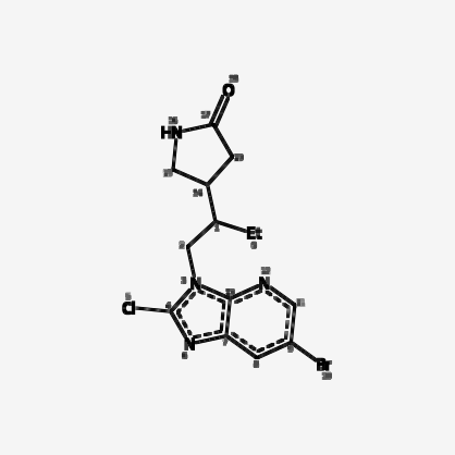 CCC(Cn1c(Cl)nc2cc(Br)cnc21)C1CNC(=O)C1